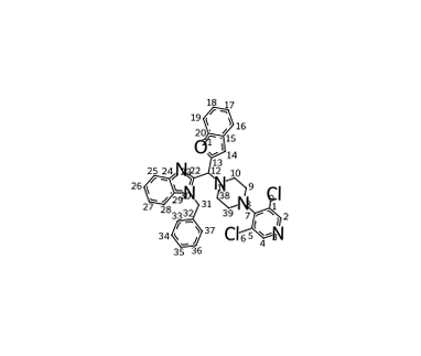 Clc1cncc(Cl)c1N1CCN(C(c2cc3ccccc3o2)c2nc3ccccc3n2Cc2ccccc2)CC1